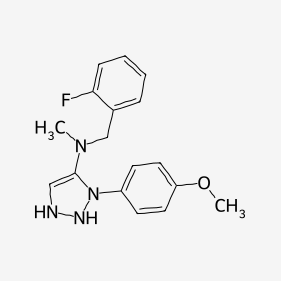 COc1ccc(N2NNC=C2N(C)Cc2ccccc2F)cc1